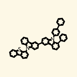 c1ccc(-c2ccc(-n3c4ccc(-c5ccc6c(c5)c5ccccc5n6-c5cccc6c5sc5ccccc56)cc4c4cccc(-c5ccccc5)c43)cc2)cc1